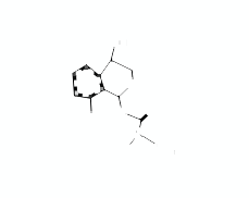 CN(C)C(=O)OC1OCC(O)c2cccc(F)c21